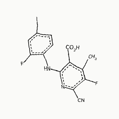 Cc1c(F)c(C#N)nc(Nc2ccc(I)cc2F)c1C(=O)O